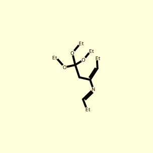 CCC=NC(=CCC)CC(OCC)(OCC)OCC